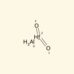 [AlH3].[O]=[Hf]=[O]